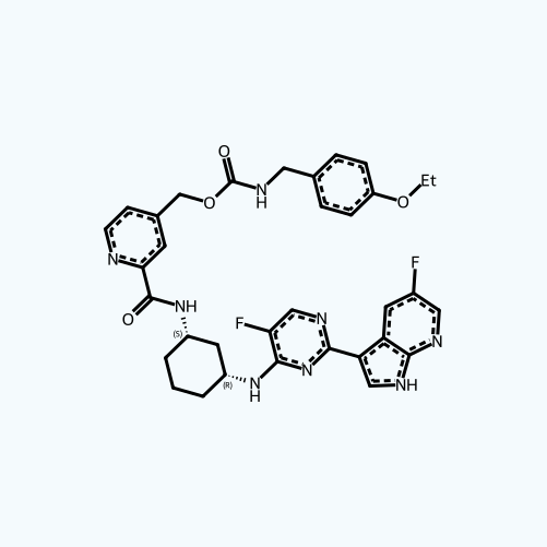 CCOc1ccc(CNC(=O)OCc2ccnc(C(=O)N[C@H]3CCC[C@@H](Nc4nc(-c5c[nH]c6ncc(F)cc56)ncc4F)C3)c2)cc1